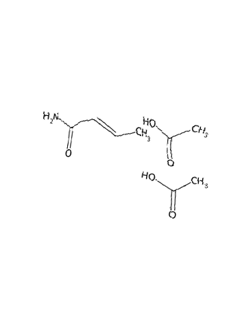 CC(=O)O.CC(=O)O.CC=CC(N)=O